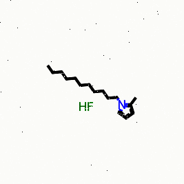 CCCCCCCCCCCn1cccc1C.F